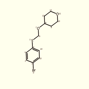 Brc1ccc(SCOC2CCOCC2)cc1